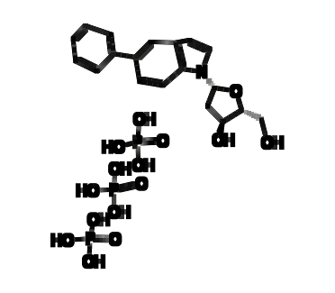 O=P(O)(O)O.O=P(O)(O)O.O=P(O)(O)O.OC[C@H]1O[C@@H](n2ccc3cc(-c4ccccc4)ccc32)C[C@@H]1O